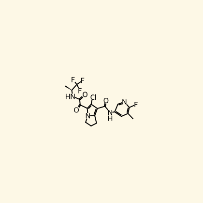 Cc1cc(NC(=O)c2c(Cl)c(C(=O)C(=O)N[C@@H](C)C(F)(F)F)n3c2CCC3)cnc1F